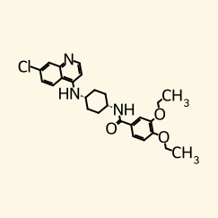 CCOc1ccc(C(=O)N[C@H]2CC[C@@H](Nc3ccnc4cc(Cl)ccc34)CC2)cc1OCC